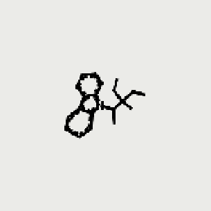 CCC(C)(CC)C(C)n1c2ccccc2c2ccccc21